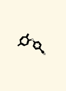 C=C1C=CC(C)=CC=C1Oc1ccc(C#N)cc1